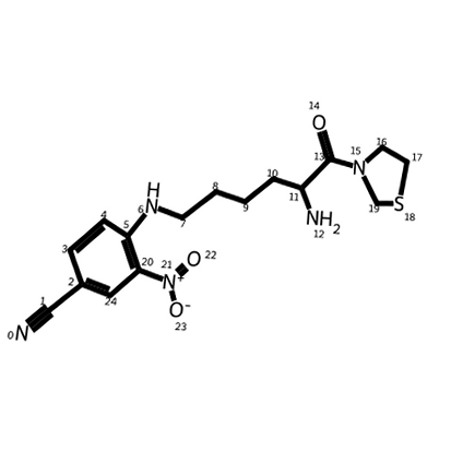 N#Cc1ccc(NCCCCC(N)C(=O)N2CCSC2)c([N+](=O)[O-])c1